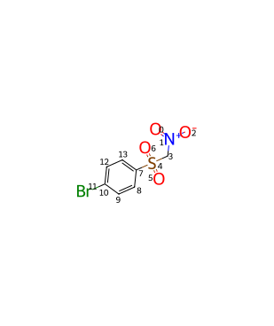 O=[N+]([O-])CS(=O)(=O)c1ccc(Br)cc1